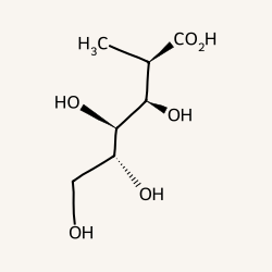 C[C@@H](C(=O)O)[C@@H](O)[C@H](O)[C@H](O)CO